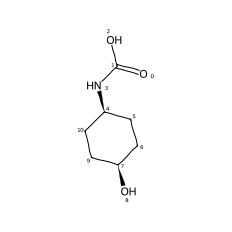 O=C(O)N[C@H]1CC[C@@H](O)CC1